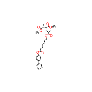 CC(C)OC(=O)C(C)C(CC(C)C(=O)OCCCCCCC(=O)Oc1ccc(-c2ccccc2)cc1)C(=O)OC(C)C